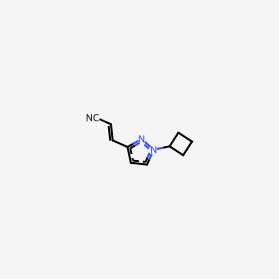 N#C/C=C/c1ccn(C2CCC2)n1